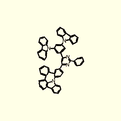 c1ccc(-c2nc(-c3cc(-n4c5ccccc5c5ccccc54)cc(-n4c5ccccc5c5ccccc54)c3)cc(-c3ccc4c(c3)-c3ccccc3-c3cccc5c6ccccc6n-4c35)n2)cc1